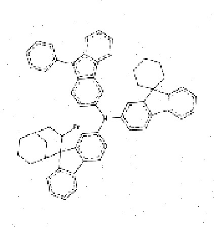 CCC1CC2CCCC(C2)C12c1ccccc1-c1ccc(N(c3ccc4c(c3)C3(CCCCC3)c3ccccc3-4)c3ccc4c(c3)c3ccccc3n4-c3ccccc3)cc12